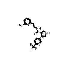 COc1cccc(CCNC(=O)[C@@H]2CNC[C@H]2c2ccc(C(F)(F)F)nc2)n1